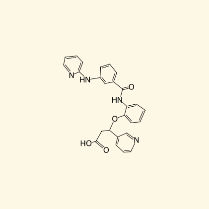 O=C(O)CC(Oc1ccccc1NC(=O)c1cccc(Nc2ccccn2)c1)c1cccnc1